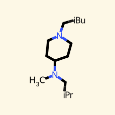 CCC(C)CN1CCC(N(C)CC(C)C)CC1